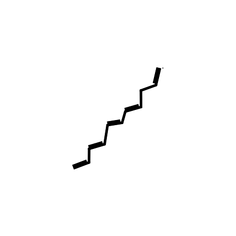 [CH]=CCC=CC=CC=CC=C